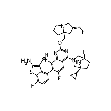 N#Cc1c(N)sc2c(F)ccc(-c3c(F)cc4c(N5C[C@@H]6CC[C@](C7CC7)(C5)N6)nc(OC[C@@]56CCCN5C/C(=C/F)C6)nc4c3F)c12